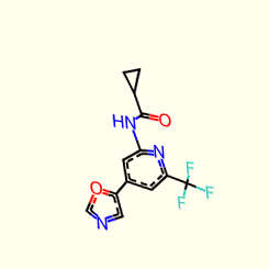 O=C(Nc1cc(-c2cnco2)cc(C(F)(F)F)n1)C1CC1